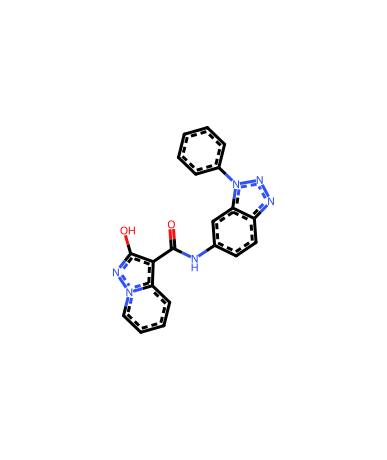 O=C(Nc1ccc2nnn(-c3ccccc3)c2c1)c1c(O)nn2ccccc12